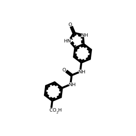 O=C(Nc1cccc(C(=O)O)c1)Nc1ccc2[nH]c(=O)[nH]c2c1